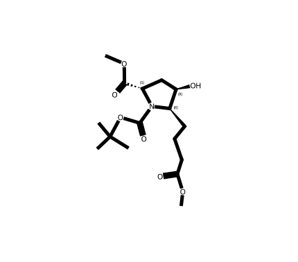 COC(=O)CCC[C@@H]1[C@H](O)C[C@@H](C(=O)OC)N1C(=O)OC(C)(C)C